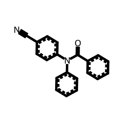 N#Cc1ccc(N(C(=O)c2ccccc2)c2ccccc2)cc1